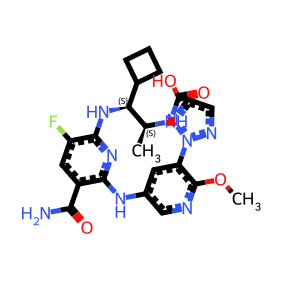 COc1ncc(Nc2nc(N[C@@H](C3CCC3)[C@H](C)NC(=O)O)c(F)cc2C(N)=O)cc1-n1nccn1